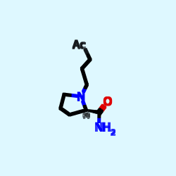 CC(=O)CCCN1CCC[C@@H]1C(N)=O